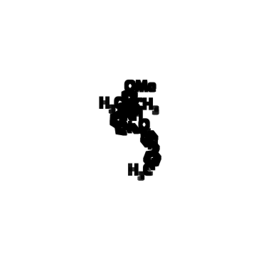 COc1cc(C)c(S(=O)(=O)Nc2cccc3ccn(CCC(=O)N4CCN(CC5CCN(C)CC5)CC4)c23)c(C)c1